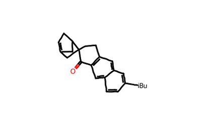 CCC(C)c1ccc2cc3c(cc2c1)CCC1(CC2=CCC1C2)C3=O